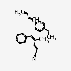 C=CC=C.C=Cc1ccccc1.CC(C=CC#N)=Cc1ccccc1